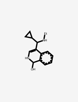 CCNC(C1=CNC(O)c2ccccc21)C1CC1